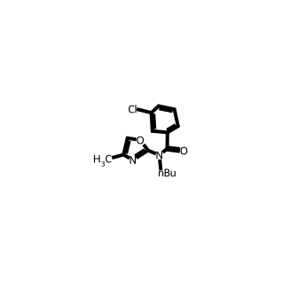 CCCCN(C(=O)c1cccc(Cl)c1)c1nc(C)co1